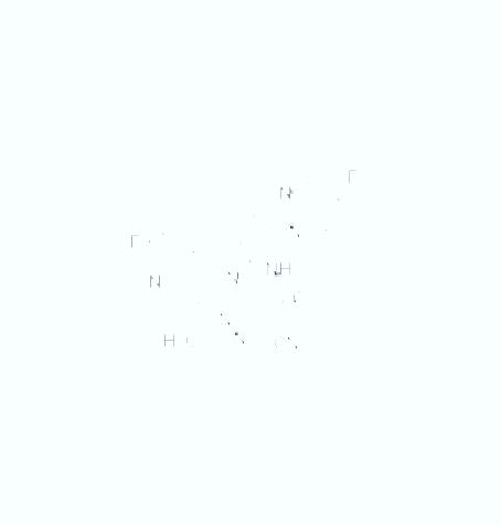 CC(c1ccc(C(F)(F)F)nc1)n1nc(C#N)c2c(=O)[nH]c(C3CCC3c3ncc(C(F)F)cn3)nc21